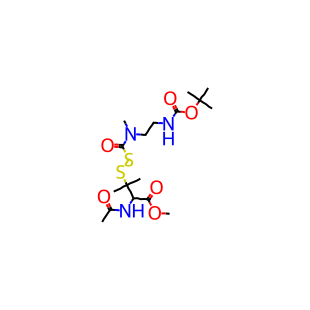 COC(=O)C(NC(C)=O)C(C)(C)SSC(=O)N(C)CCNC(=O)OC(C)(C)C